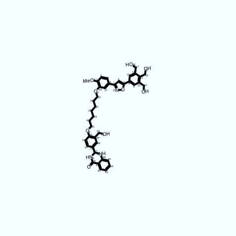 COc1ccc(-c2cc(-c3cc(CO)c(CO)c(CO)c3)on2)cc1OCCCCCCCOc1ccc(C2NC(=O)c3ccccc3N2)cc1CO